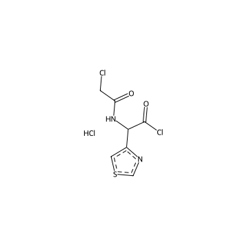 Cl.O=C(CCl)NC(C(=O)Cl)c1cscn1